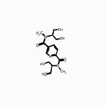 CN(C(=O)c1ccc(C(=O)N(C)C(CO)CO)nc1)C(CO)CO